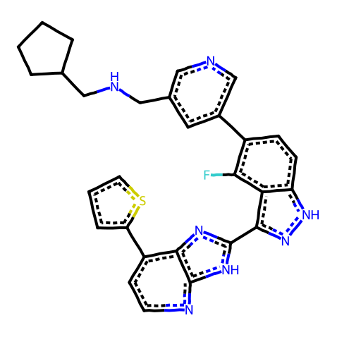 Fc1c(-c2cncc(CNCC3CCCC3)c2)ccc2[nH]nc(-c3nc4c(-c5cccs5)ccnc4[nH]3)c12